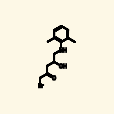 Cc1cccc(C)c1NCC(O)CC(=O)CBr